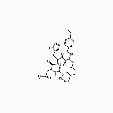 CCc1ccc(CN[C@@H](CC(C)C)C(=O)C(=O)[C@H](Cc2cnc[nH]2)NC(=O)C(CC(N)=O)NC(=O)[C@H](CC(C)C)NN)cc1